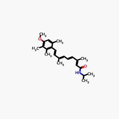 COc1cc(C)c(C=CC(C)=CC=CC(C)=CC(=O)NC(C)C)c(C)c1C